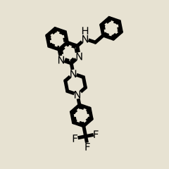 FC(F)(F)c1ccc(N2CCN(c3nc(NCc4ccccc4)c4ccccc4n3)CC2)cc1